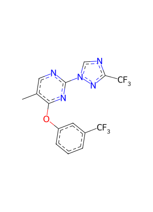 Cc1cnc(-n2cnc(C(F)(F)F)n2)nc1Oc1cccc(C(F)(F)F)c1